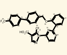 O=C(O)c1cnn(-c2ccnc(-c3ccccc3OCc3ccc(-c4ccc(C(F)(F)F)cc4)cc3)n2)c1C(F)(F)F